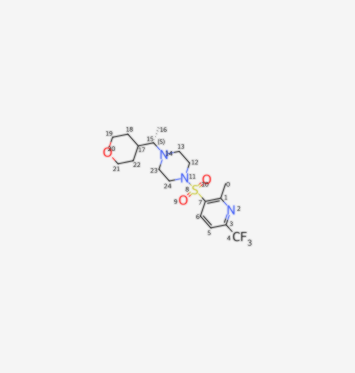 Cc1nc(C(F)(F)F)ccc1S(=O)(=O)N1CCN([C@@H](C)C2CCOCC2)CC1